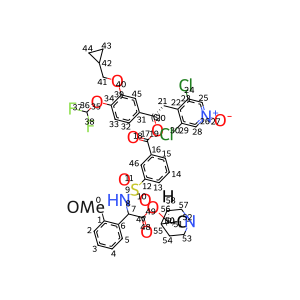 COc1ccccc1C(NS(=O)(=O)c1cccc(C(=O)O[C@@H](Cc2c(Cl)c[n+]([O-])cc2Cl)c2ccc(OC(F)F)c(OCC3CC3)c2)c1)C(=O)O[C@H]1CN2CCC1CC2